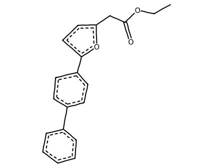 CCOC(=O)Cc1ccc(-c2ccc(-c3ccccc3)cc2)o1